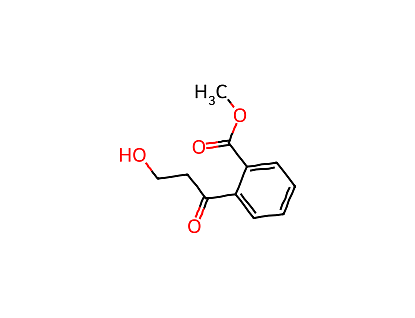 COC(=O)c1ccccc1C(=O)CCO